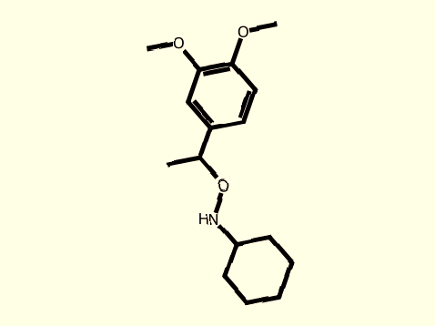 COc1ccc(C(C)ONC2CCCCC2)cc1OC